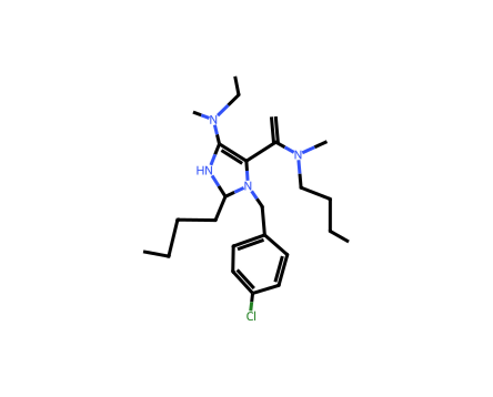 C=C(C1=C(N(C)CC)NC(CCCC)N1Cc1ccc(Cl)cc1)N(C)CCCC